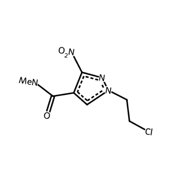 CNC(=O)c1cn(CCCl)nc1[N+](=O)[O-]